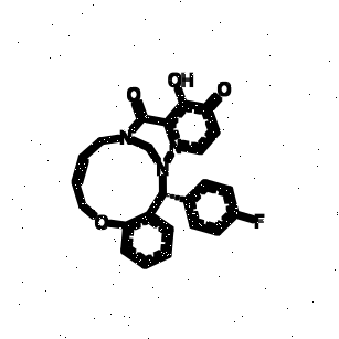 O=C1c2c(O)c(=O)ccn2N2CN1C/C=C\COc1ccccc1[C@H]2c1ccc(F)cc1